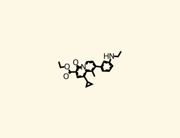 CCNc1cccc(-c2ccn3c(=O)c(C(=O)OCC)cc(C4CC4)c3c2C)c1